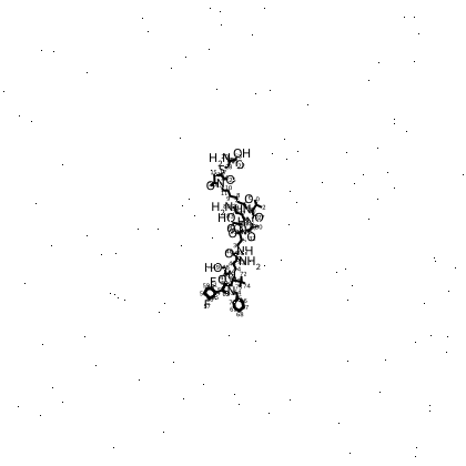 CC(C)[C@H](NC(=O)CCCCCN1C(=O)CC(SC[C@H](N)C(=O)O)C1=O)C(=O)N[C@@H](C)C(=O)N(C(=O)CCNC(=O)[C@@H](N)CCN(C(=O)CO)[C@@H](c1cc(-c2cc(F)ccc2F)cn1Cc1ccccc1)C(C)(C)C)[C@@H](CCCCN)C(=O)O